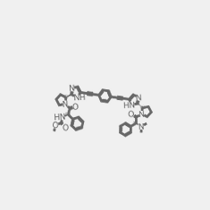 COC(=O)N[C@@H](C(=O)N1CCC[C@H]1c1ncc(C#Cc2ccc(C#Cc3cnc([C@@H]4CCCN4C(=O)[C@@H](c4ccccc4)N(C)C)[nH]3)cc2)[nH]1)c1ccccc1